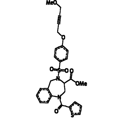 COCC#CCOc1ccc(S(=O)(=O)N2Cc3ccccc3N(C(=O)c3cccs3)CC2C(=O)OC)cc1